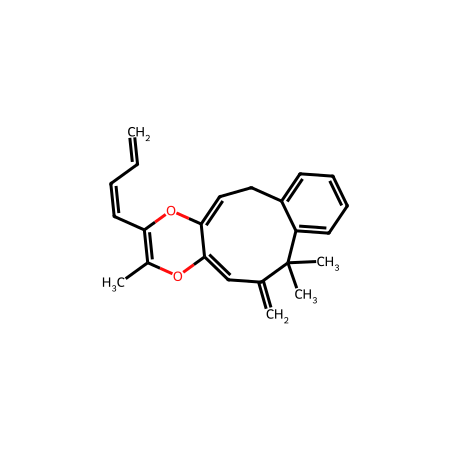 C=C/C=C\C1=C(C)OC2=C/C(=C)C(C)(C)c3ccccc3C/C=C\2O1